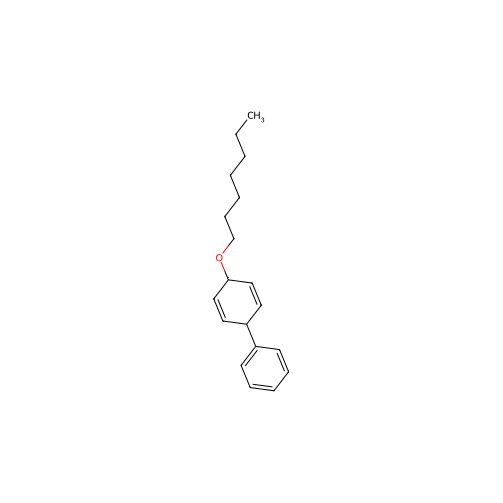 CCCCCCCO[C]1C=CC(c2ccccc2)C=C1